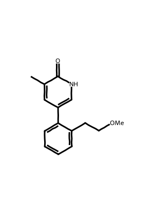 COCCc1ccccc1-c1c[nH]c(=O)c(C)c1